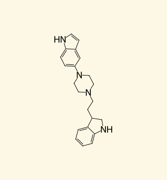 c1ccc2c(c1)NCC2CCN1CCN(c2ccc3[nH]ccc3c2)CC1